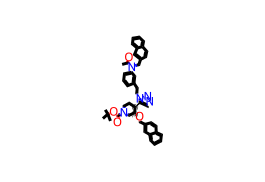 CC(=O)N(Cc1ccc2ccccc2c1)c1cccc(CCn2nncc2[C@@H]2CCN(C(=O)OC(C)(C)C)C[C@H]2OCc2ccc3ccccc3c2)c1